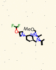 C=C(C)N(C(C)NCOC)[C@H](C)[C@H]1CC[C@@H](N2CC(OC(F)F)C2)CC1